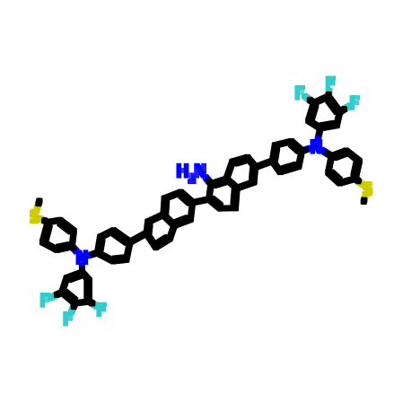 CSc1ccc(N(c2ccc(-c3ccc4cc(-c5ccc6cc(-c7ccc(N(c8ccc(SC)cc8)c8cc(F)c(F)c(F)c8)cc7)ccc6c5N)ccc4c3)cc2)c2cc(F)c(F)c(F)c2)cc1